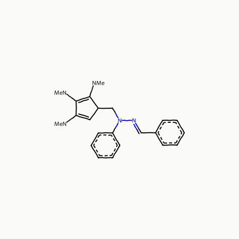 CNC1=CC(CN(N=Cc2ccccc2)c2ccccc2)C(NC)=C1NC